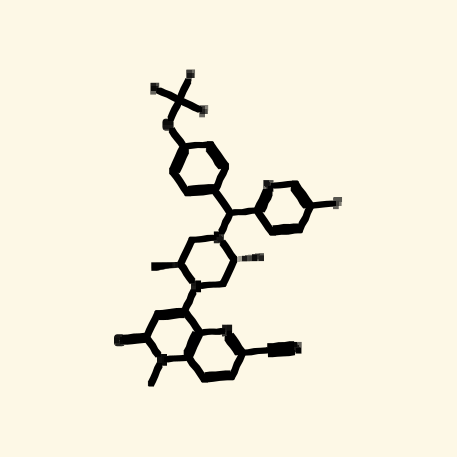 C[C@@H]1CN(c2cc(=O)n(C)c3ccc(C#N)nc23)[C@@H](C)CN1C(c1ccc(OC(F)(F)F)cc1)c1ccc(F)cn1